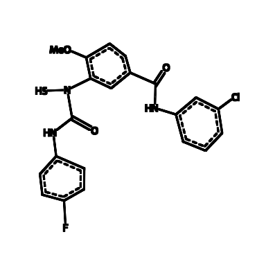 COc1ccc(C(=O)Nc2cccc(Cl)c2)cc1N(S)C(=O)Nc1ccc(F)cc1